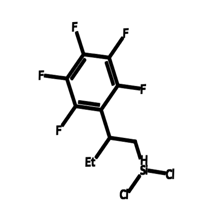 CCC(C[SiH](Cl)Cl)c1c(F)c(F)c(F)c(F)c1F